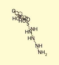 C[C@@H]1CC2C3CCC4=CC(=O)C=C[C@]4(C)[C@@]3(F)[C@@H](O)C[C@]2(C)[C@@]1(O)C(=O)CSCCCC(=N)NCCCNCCCCNCCCN